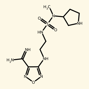 CN(C1CCNC1)S(=O)(=O)NCCNc1nonc1C(=N)N